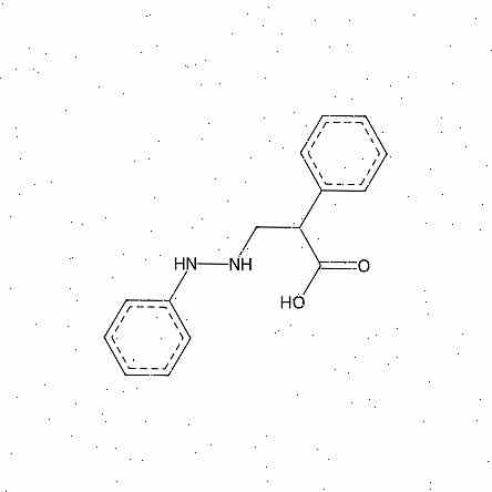 O=C(O)C(CNNc1ccccc1)c1ccccc1